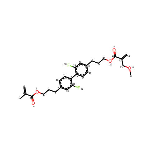 C=C(C)C(=O)OCCCc1ccc(-c2ccc(CCCOC(=O)C(=C)COC)cc2F)c(F)c1